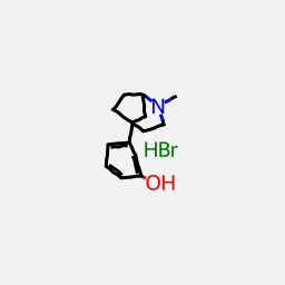 Br.CN1CCC2(c3cccc(O)c3)CCC1C2